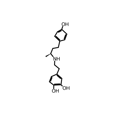 C[C@@H](CCc1ccc(O)cc1)NCCc1ccc(O)c(O)c1